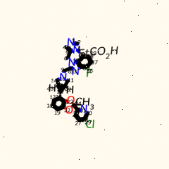 CCn1cncc1Cn1c(CN2C[C@@H]3[C@H](C2)[C@@H]3c2cccc3c2O[C@](C)(c2ccc(Cl)cn2)O3)nc2c(F)cc(C(=O)O)cc21